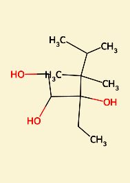 CCC(O)(C(O)CO)C(C)(C)C(C)C